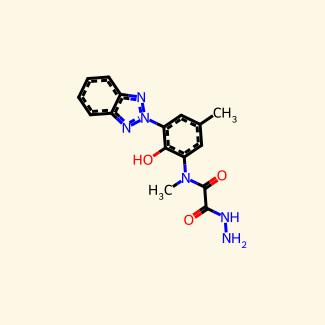 Cc1cc(N(C)C(=O)C(=O)NN)c(O)c(-n2nc3ccccc3n2)c1